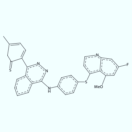 COc1cc(F)cc2nccc(Sc3ccc(Nc4nnc(C5=CC=C(C)CC5=S)c5ccccc45)cc3)c12